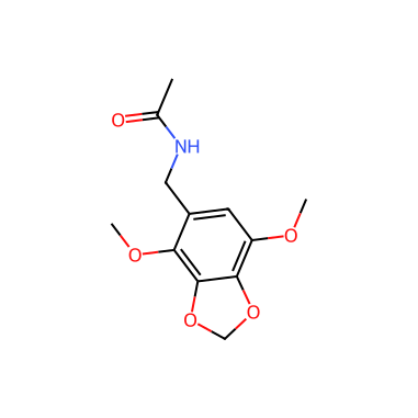 COc1cc(CNC(C)=O)c(OC)c2c1OCO2